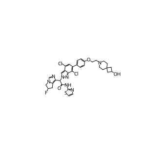 O=C(Nc1nccs1)[C@@H](c1ncn2c1C[C@@H](F)C2)n1cc2c(Cl)cc(-c3ccc(OCCN4CCC5(CC4)CC(O)C5)cc3)c(Cl)c2n1